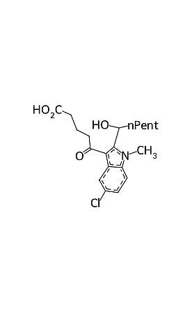 CCCCCC(O)c1c(C(=O)CCCC(=O)O)c2cc(Cl)ccc2n1C